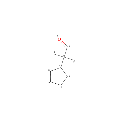 CC(C)(C=O)C1CCCC1